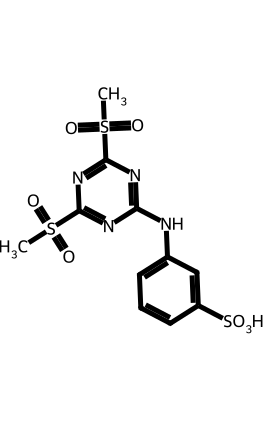 CS(=O)(=O)c1nc(Nc2cccc(S(=O)(=O)O)c2)nc(S(C)(=O)=O)n1